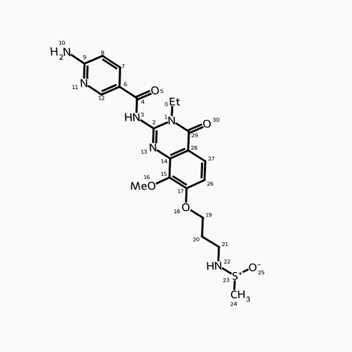 CCn1c(NC(=O)c2ccc(N)nc2)nc2c(OC)c(OCCCN[S+](C)[O-])ccc2c1=O